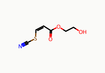 N#CS/C=C\C(=O)OCCO